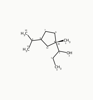 CCC(O)[C@@]1(C)CCC(C(C)C)C1